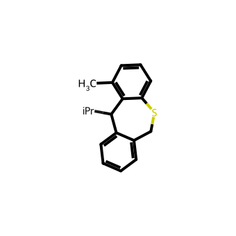 Cc1cccc2c1C(C(C)C)c1ccccc1CS2